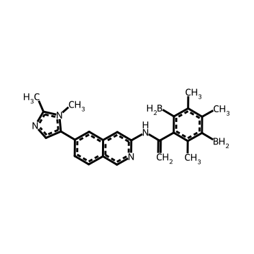 Bc1c(C)c(C)c(B)c(C(=C)Nc2cc3cc(-c4cnc(C)n4C)ccc3cn2)c1C